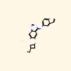 CCOC(=O)CC1CC(Oc2cc3c(Nc4ccc5occc5c4)ncnc3cc2OC)C1